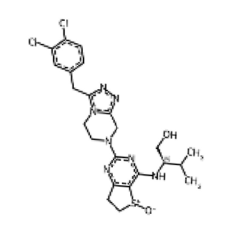 CC(C)[C@H](CO)Nc1nc(N2CCn3c(Cc4ccc(Cl)c(Cl)c4)nnc3C2)nc2c1[S+]([O-])CC2